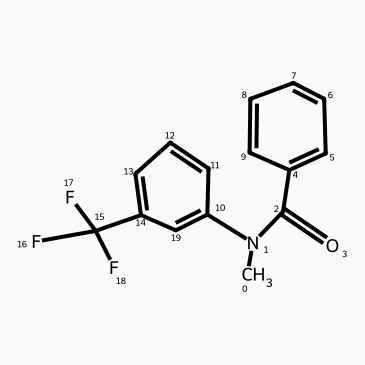 CN(C(=O)c1ccccc1)c1cccc(C(F)(F)F)c1